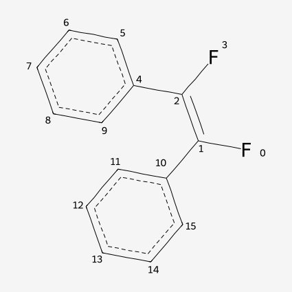 F/C(=C(\F)c1ccccc1)c1ccccc1